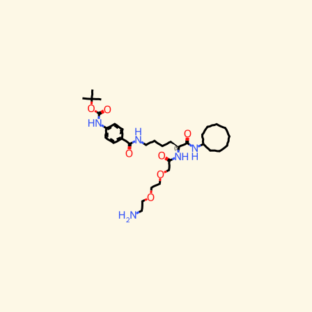 CC(C)(C)OC(=O)Nc1ccc(C(=O)NCCCC[C@H](NC(=O)COCCOCCN)C(=O)NC2CCCCCCCC2)cc1